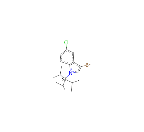 CC(C)[Si](C(C)C)(C(C)C)n1cc(Br)c2cc(Cl)ccc21